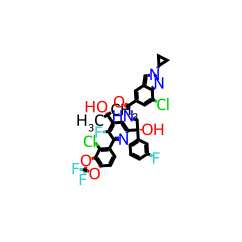 CC(C)(O)c1cc([C@@](O)(CNC(=O)c2cc(Cl)c3nn(C4CC4)cc3c2)c2cccc(F)c2)nc(-c2ccc3c(c2Cl)OC(F)(F)O3)c1F